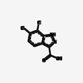 O=C(O)c1n[nH]c2c(Cl)c(Cl)ccc12